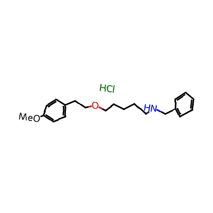 COc1ccc(CCOCCCCCNCc2ccccc2)cc1.Cl